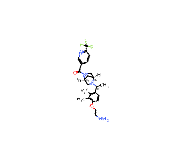 Cc1c(OCCN)ccc([C@H](C)N2C[C@@H]3C[C@H]2CN3C(=O)c2ccc(C(F)(F)F)nc2)c1C